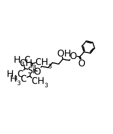 CC(C)[Si](OCCCCC(O)COC(=O)c1ccccc1)(C(C)C)C(C)C